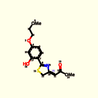 COCCOc1ccc(C2=N/C(=C\C(=O)OC)CS2)c(O)c1